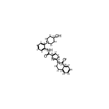 O=C(Nc1ccccc1N1CCC(O)CC1)c1csc(N2CCc3ccccc3C2=O)n1